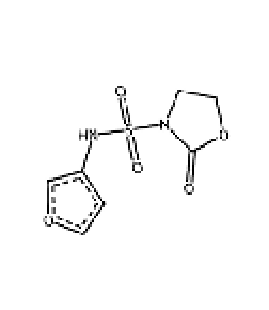 O=C1OCCN1S(=O)(=O)Nc1ccoc1